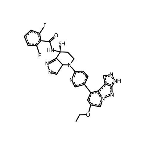 CCOc1cc(-c2ccc(N3CC[C@@](S)(NC(=O)c4c(F)cccc4F)C4=NN=CC43)nc2)c2c3cn[nH]c3nn2c1